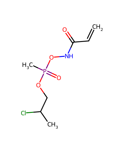 C=CC(=O)NOP(C)(=O)OCC(C)Cl